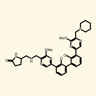 COc1nc(-c2cccc(-c3cccc(-c4cnc(CN5CCCCC5)c(OC)n4)c3Cl)c2Cl)cnc1CNCC1CCC(=O)N1